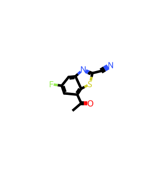 CC(=O)c1cc(F)cc2nc(C#N)sc12